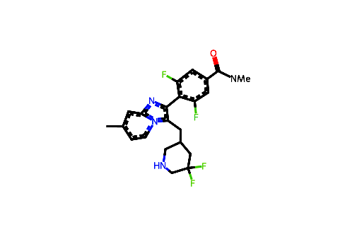 CNC(=O)c1cc(F)c(-c2nc3cc(C)ccn3c2CC2CNCC(F)(F)C2)c(F)c1